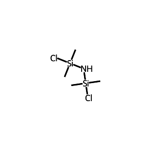 C[Si](C)(Cl)N[Si](C)(C)Cl